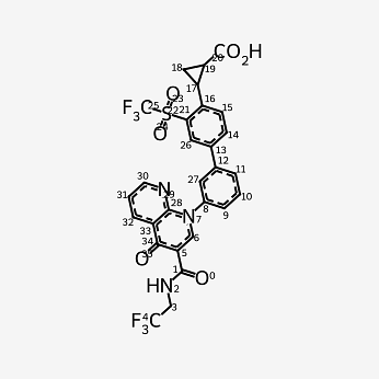 O=C(NCC(F)(F)F)c1cn(-c2cccc(-c3ccc(C4CC4C(=O)O)c(S(=O)(=O)C(F)(F)F)c3)c2)c2ncccc2c1=O